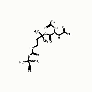 C#CC(C)(C)OC(=O)NCCC(C)(C)OC(=O)N(NC(C)=O)NC(C)=O